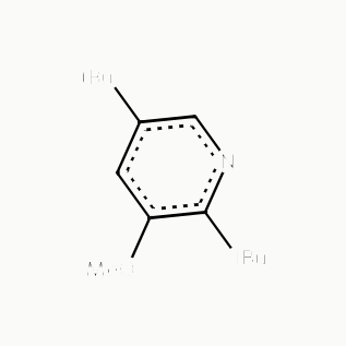 COc1cc(C(C)(C)C)cnc1C(C)(C)C